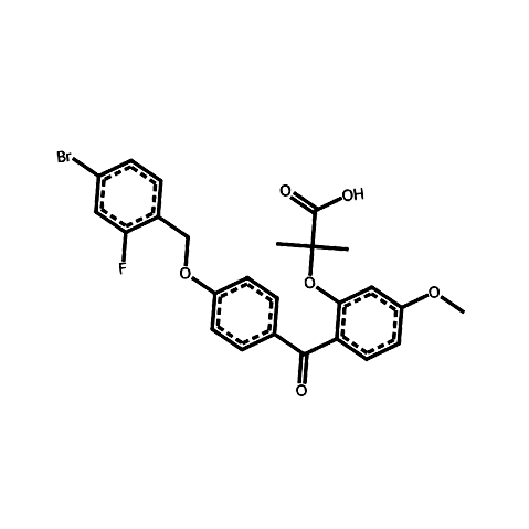 COc1ccc(C(=O)c2ccc(OCc3ccc(Br)cc3F)cc2)c(OC(C)(C)C(=O)O)c1